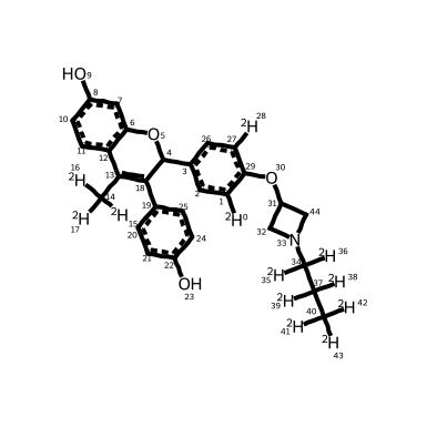 [2H]c1cc(C2Oc3cc(O)ccc3C(C([2H])([2H])[2H])=C2c2ccc(O)cc2)cc([2H])c1OC1CN(C([2H])([2H])C([2H])([2H])C([2H])([2H])[2H])C1